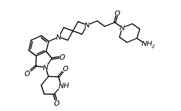 NC1CCN(C(=O)CCN2CC3(C2)CN(c2cccc4c2C(=O)N(C2CCC(=O)NC2=O)C4=O)C3)CC1